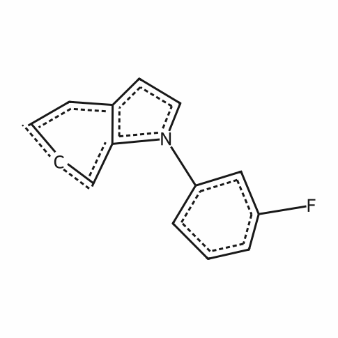 Fc1cccc(-n2ccc3c[c]ccc32)c1